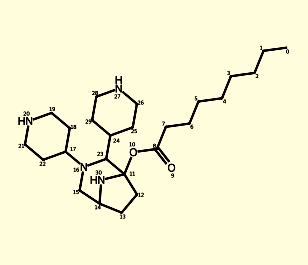 CCCCCCCCC(=O)OC12CCC(CN(C3CCNCC3)C1C1CCNCC1)N2